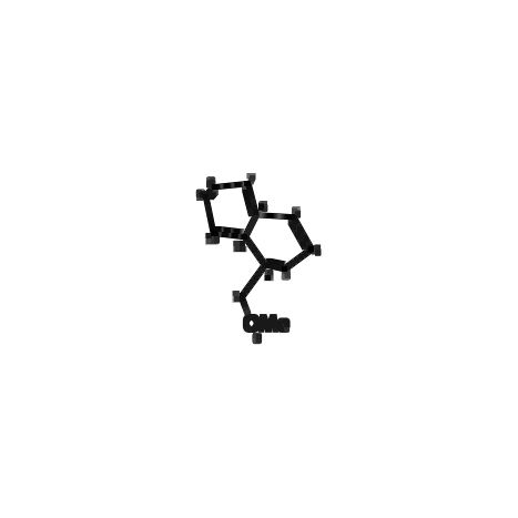 COCc1cccc2ccccc12